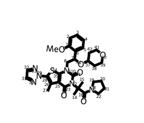 COc1ccccc1C(Cn1c(=O)n(C(C)(C)C(=O)N2CCCC2)c(=O)c2c(C)c(-n3nccn3)sc21)OC1CCOCC1